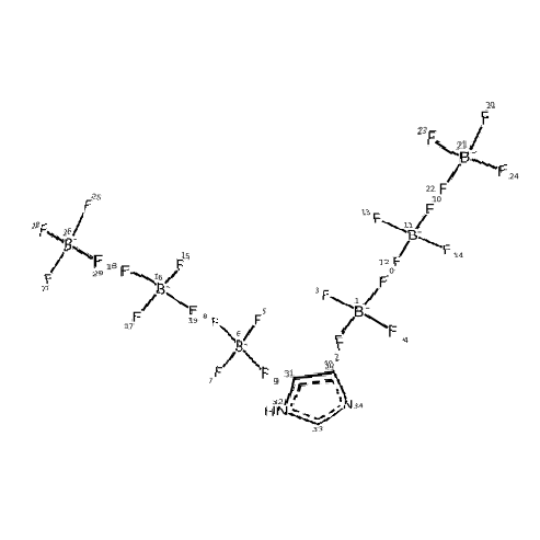 F[B-](F)(F)F.F[B-](F)(F)F.F[B-](F)(F)F.F[B-](F)(F)F.F[B-](F)(F)F.F[B-](F)(F)F.c1c[nH]cn1